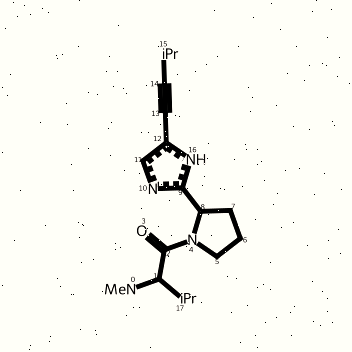 CNC(C(=O)N1CCCC1c1ncc(C#CC(C)C)[nH]1)C(C)C